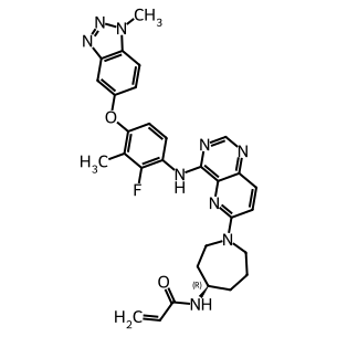 C=CC(=O)N[C@@H]1CCCN(c2ccc3ncnc(Nc4ccc(Oc5ccc6c(c5)nnn6C)c(C)c4F)c3n2)CC1